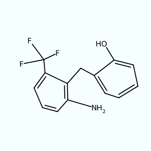 Nc1cccc(C(F)(F)F)c1Cc1ccccc1O